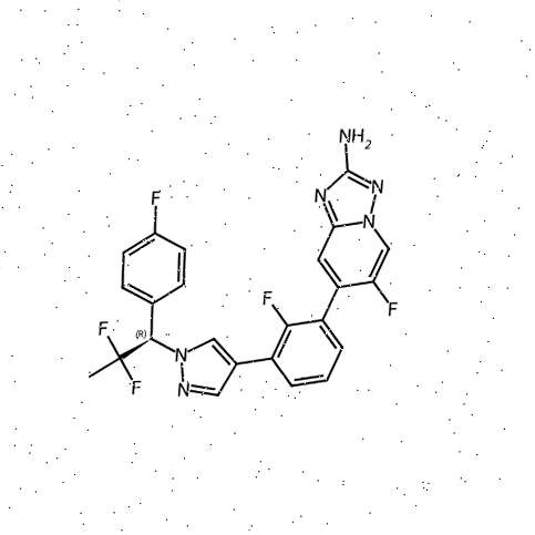 CC(F)(F)[C@@H](c1ccc(F)cc1)n1cc(-c2cccc(-c3cc4nc(N)nn4cc3F)c2F)cn1